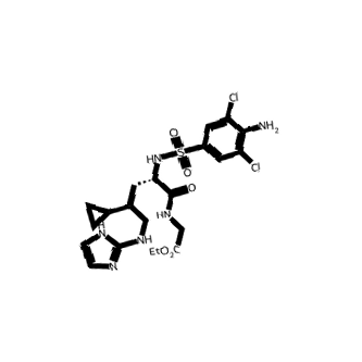 CCOC(=O)CNC(=O)[C@H](CC(CNc1ncc[nH]1)C1CC1)NS(=O)(=O)c1cc(Cl)c(N)c(Cl)c1